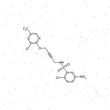 O=[N+]([O-])c1ccc(Cl)c(S(=O)(=O)NCC#CCOc2ncc(C(F)(F)F)cc2Cl)c1